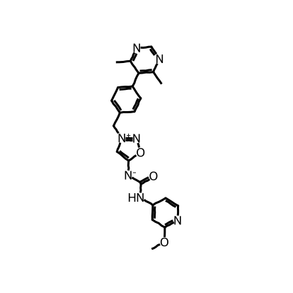 COc1cc(NC(=O)[N-]c2c[n+](Cc3ccc(-c4c(C)ncnc4C)cc3)no2)ccn1